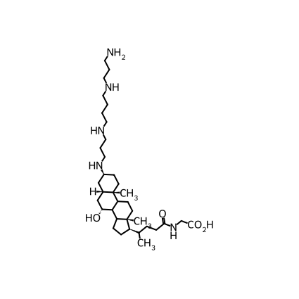 CC(CCC(=O)NCC(=O)O)[C@H]1CCC2C3C(CC[C@@]21C)[C@@]1(C)CC[C@H](NCCCNCCCCNCCCN)C[C@H]1C[C@H]3O